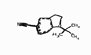 CC(C)(C)N1CCc2cc(C#N)ccc21